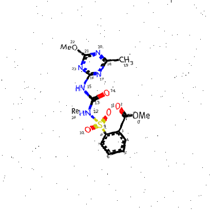 COC(=O)c1ccccc1S(=O)(=O)NC(=O)Nc1nc(C)nc(OC)n1.[Re]